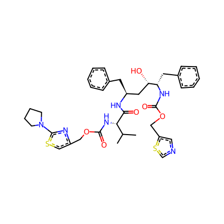 CC(C)[C@H](NC(=O)OCc1csc(N2CCCC2)n1)C(=O)N[C@@H](Cc1ccccc1)C[C@H](O)[C@H](Cc1ccccc1)NC(=O)OCc1cncs1